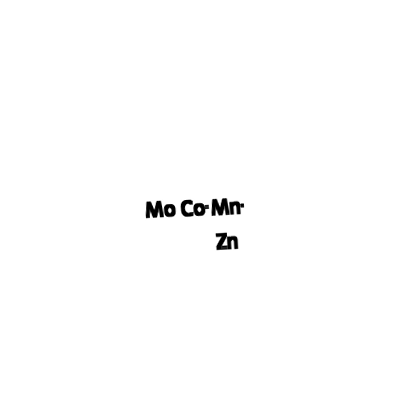 [Co].[Mn].[Mo].[Zn]